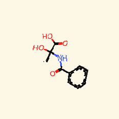 [CH2]C(O)(NC(=O)c1ccccc1)C(=O)O